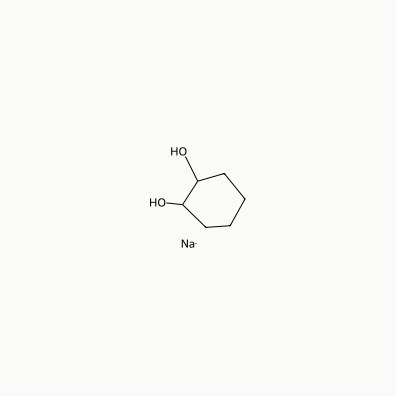 OC1CCCCC1O.[Na]